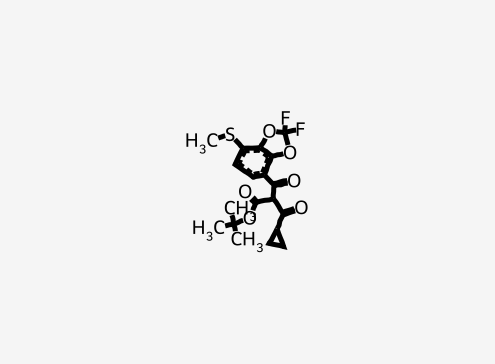 CSc1ccc(C(=O)C(C(=O)OC(C)(C)C)C(=O)C2CC2)c2c1OC(F)(F)O2